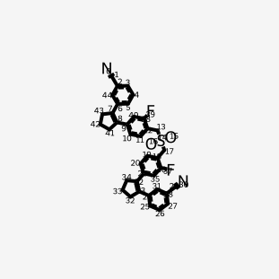 N#Cc1cccc(C2=C(c3ccc(CS(=O)(=O)Cc4ccc(C5=C(c6cccc(C#N)c6)CCC5)cc4F)c(F)c3)CCC2)c1